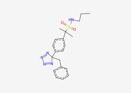 CCCNS(=O)(=O)C(C)(C)c1ccc(C2(Cc3ccccc3)N=NN=N2)cc1